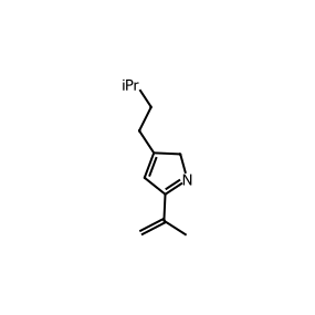 C=C(C)C1=NCC(CCC(C)C)=C1